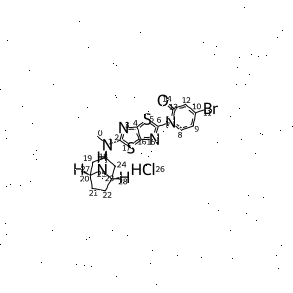 CN(c1nc2sc(-n3ccc(Br)cc3=O)nc2s1)C1C[C@H]2CC[C@@H](C1)N2.Cl